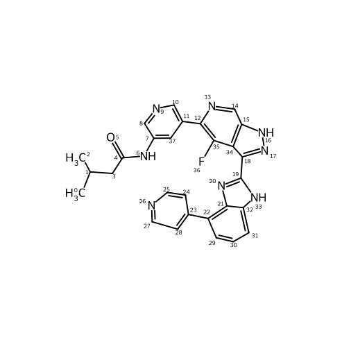 CC(C)CC(=O)Nc1cncc(-c2ncc3[nH]nc(-c4nc5c(-c6ccncc6)cccc5[nH]4)c3c2F)c1